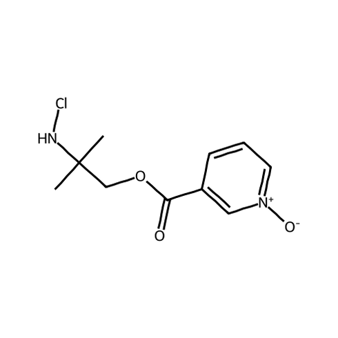 CC(C)(COC(=O)c1ccc[n+]([O-])c1)NCl